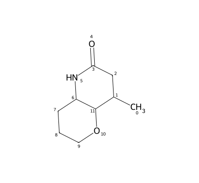 CC1CC(=O)NC2CCCOC12